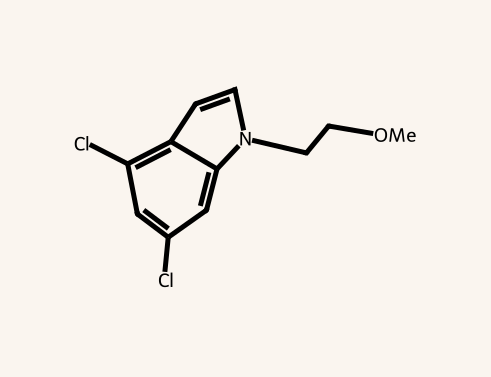 COCCn1ccc2c(Cl)cc(Cl)cc21